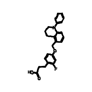 O=C(O)CCc1ccc(OCc2cccc3c2CCCN3c2ccccc2)cc1F